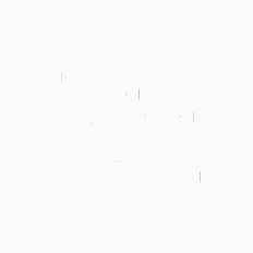 OC/C(O)=C(O)\C(Br)=C(\O)CO